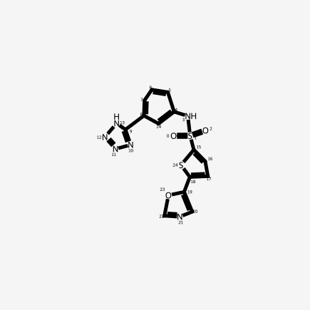 O=S(=O)(Nc1cccc(-c2nnn[nH]2)c1)c1ccc(-c2cnco2)s1